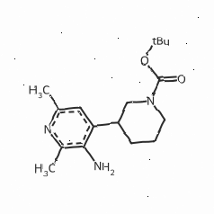 Cc1cc(C2CCCN(C(=O)OC(C)(C)C)C2)c(N)c(C)n1